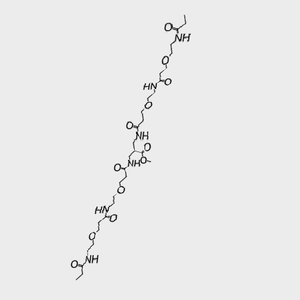 CCC(=O)NCCOCCC(=O)NCCOCCC(=O)NCC(CNC(=O)CCOCCNC(=O)CCOCCNC(=O)CC)C(=O)OC